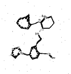 CC(C)Oc1ccc(-n2cnnn2)cc1CN[C@H]1CCCN[C@@H]1c1ccccc1